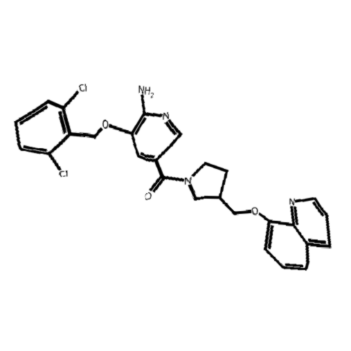 Nc1ncc(C(=O)N2CCC(COc3cccc4cccnc34)C2)cc1OCc1c(Cl)cccc1Cl